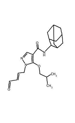 CC(C)COc1c(C(=O)NC2C3CC4CC(C3)CC2C4)cnn1C/C=C/C=O